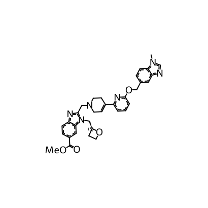 COC(=O)c1ccc2nc(CN3CC=C(c4cccc(OCc5ccc6c(c5)ncn6C)n4)CC3)n(C[C@@H]3CCO3)c2c1